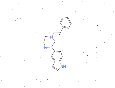 c1ccc(CCN2CC[N]C(c3ccc4[nH]ccc4c3)C2)cc1